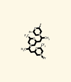 CC(C)N1CC(CC(C)N2CC(CC(C)N3C[C@H](F)O[C@@H](F)C3)OC(C(F)(F)F)C2)O[C@H](C(F)(F)F)C1